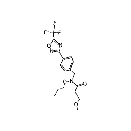 CCCON(Cc1ccc(-c2noc(C(F)(F)F)n2)cc1)C(=O)CCOC